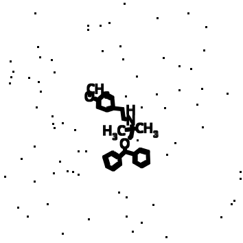 COc1ccc(CCNC(C)(C)COC(c2ccccc2)c2ccccc2)cc1